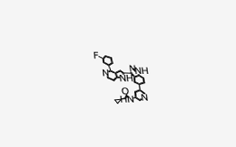 O=C(Nc1cncc(-c2ccc3[nH]nc(-c4cc5c(-c6cccc(F)c6)nccc5[nH]4)c3c2)c1)C1CC1